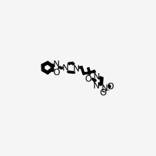 CC1(CCN2CCN(c3nc4ccccc4o3)CC2)Cn2cc([N+](=O)[O-])nc2O1